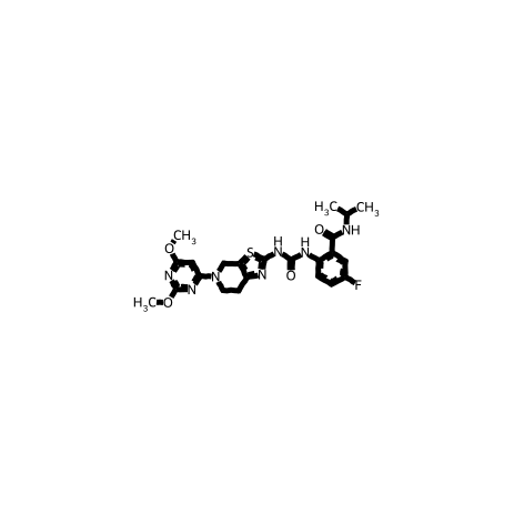 COc1cc(N2CCc3nc(NC(=O)Nc4ccc(F)cc4C(=O)NC(C)C)sc3C2)nc(OC)n1